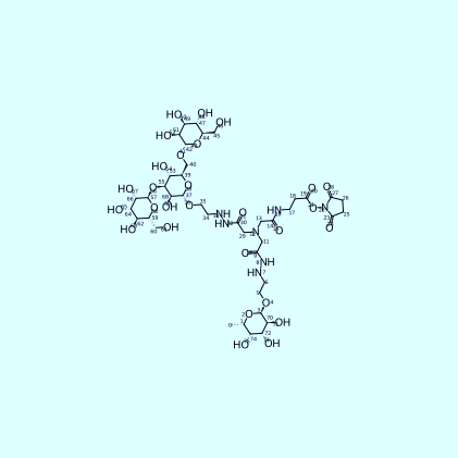 C[C@@H]1O[C@@H](OCCNNC(=O)CN(CC(=O)NCCC(=O)ON2C(=O)CCC2=O)CC(=O)NNCCO[C@H]2O[C@H](CO[C@H]3O[C@H](CO)[C@@H](O)[C@H](O)[C@@H]3O)[C@@H](O)[C@H](O[C@H]3O[C@H](CO)[C@@H](O)[C@H](O)[C@@H]3O)[C@@H]2O)[C@@H](O)[C@H](O)[C@@H]1O